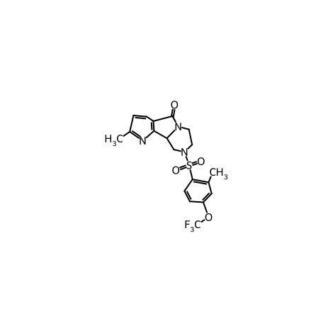 Cc1ccc2c(n1)C1CN(S(=O)(=O)c3ccc(OC(F)(F)F)cc3C)CCN1C2=O